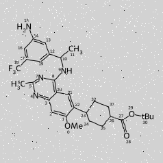 COc1cc2nc(C)nc(NC(C)c3cc(N)cc(C(F)(F)F)c3)c2cc1C1CCC(C(=O)OC(C)(C)C)CC1